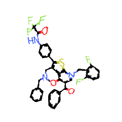 CN(Cc1ccccc1)Cc1c(-c2ccc(NC(=O)C(F)(F)F)cc2)sc2c1c(=O)c(C(=O)c1ccccc1)cn2Cc1c(F)cccc1F